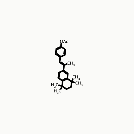 CC(=O)Oc1ccc(C=C(C)c2ccc3c(c2)C(C)(C)CCC3(C)C)cc1